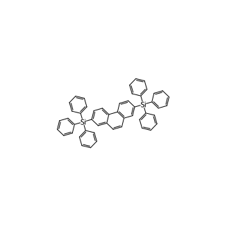 c1ccc([Si](c2ccccc2)(c2ccccc2)c2ccc3c(ccc4cc([Si](c5ccccc5)(c5ccccc5)c5ccccc5)ccc43)c2)cc1